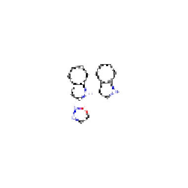 c1ccc2[nH]ccc2c1.c1ccc2[nH]ccc2c1.c1conn1